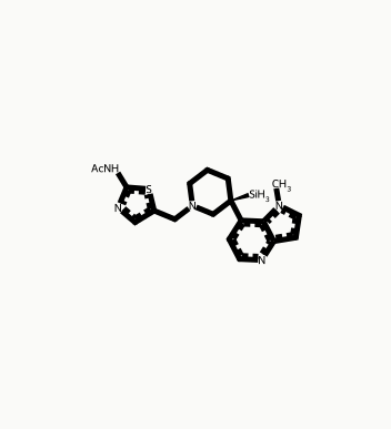 CC(=O)Nc1ncc(CN2CCC[C@]([SiH3])(c3ccnc4ccn(C)c34)C2)s1